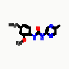 Cc1cnc(NC(=O)Nc2ccc(C(=O)O)cc2OC(F)(F)F)cn1